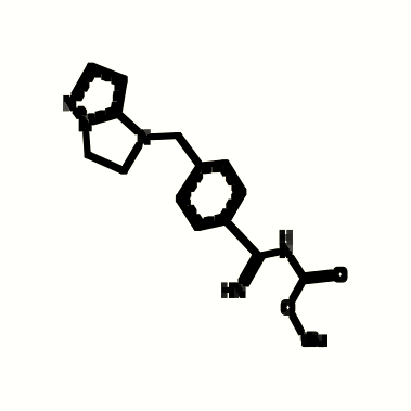 CC(C)(C)OC(=O)NC(=N)c1ccc(CN2CCn3nccc32)cc1